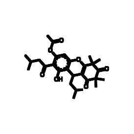 CC(=O)Oc1cc2c(c(O)c1C(=O)CC(C)C)C(CC(C)C)C1=C(O2)C(C)(C)C(=O)C(C)(C)C1=O